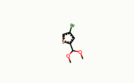 COC(OC)c1cc(Br)cs1